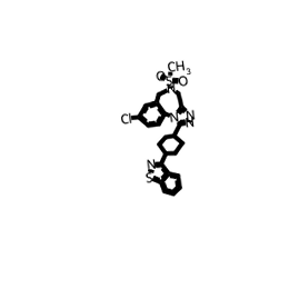 CS(=O)(=O)N1Cc2cc(Cl)ccc2-n2c(nnc2C2CCC(c3nsc4ccccc34)CC2)C1